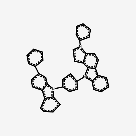 c1ccc(-c2ccc3c4ccccc4n(-c4ccc(-n5c6ccccc6c6ccc7c(ccn7-c7ccccc7)c65)cc4)c3c2)cc1